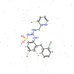 O=S1(=O)N=C(NCc2ncccc2F)Nc2c1cc(F)c(F)c2Cc1ccccc1Cl